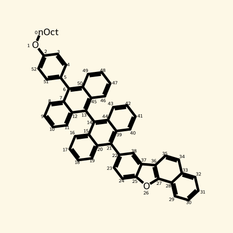 CCCCCCCCOc1ccc(-c2c3ccccc3c(-c3c4ccccc4c(-c4ccc5oc6c7ccccc7ccc6c5c4)c4ccccc34)c3ccccc23)cc1